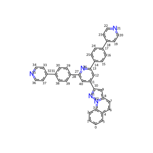 c1ccc2c(c1)ccc1cc(-c3cc(-c4ccc(-c5ccncc5)cc4)nc(-c4ccc(-c5ccncc5)cc4)c3)nn12